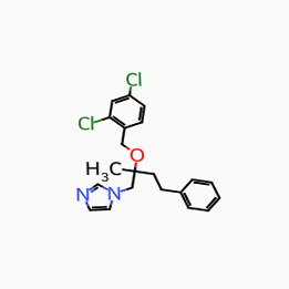 CC(CCc1ccccc1)(Cn1ccnc1)OCc1ccc(Cl)cc1Cl